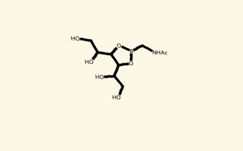 CC(=O)NCB1OC(C(O)CO)C(C(O)CO)O1